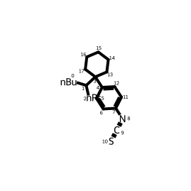 CCCCC(CCC)C1(c2ccc(N=C=S)cc2)CCCCC1